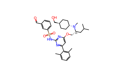 Cc1cccc(C)c1-c1cc(OC[C@@H](CC(C)C)N(C)[C@H]2CC[C@H](CO)CC2)nc(NS(=O)(=O)c2cccc(C=O)c2)n1